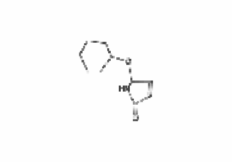 O=C1C=CC(OC2CCCCC2)N1